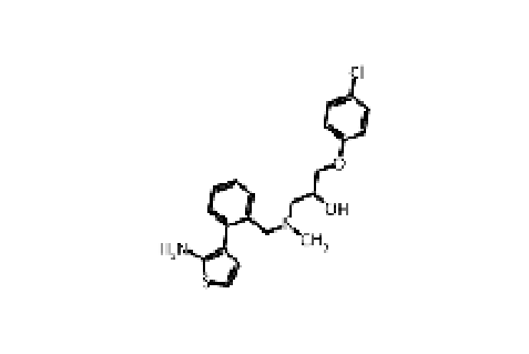 CN(Cc1ccccc1-c1ccsc1N)CC(O)COc1ccc(Cl)cc1